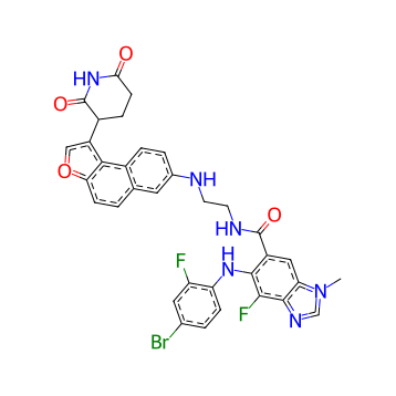 Cn1cnc2c(F)c(Nc3ccc(Br)cc3F)c(C(=O)NCCNc3ccc4c(ccc5occ(C6CCC(=O)NC6=O)c54)c3)cc21